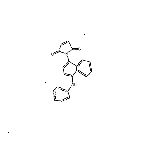 O=C1C=CC(=O)N1c1ccc(Nc2ccccc2)c2ccccc12